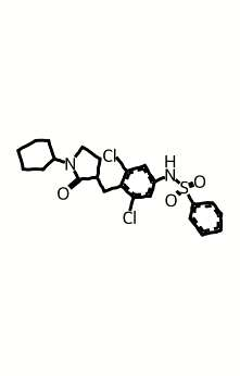 O=C1C(Cc2c(Cl)cc(NS(=O)(=O)c3ccccc3)cc2Cl)CCN1C1CCCCC1